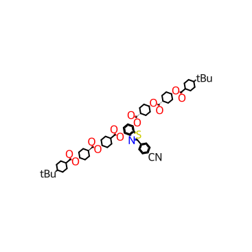 CC(C)(C)C1CCC(C(=O)O[C@H]2CC[C@H](C(=O)OC3CCC(C(=O)Oc4ccc(OC(=O)[C@H]5CC[C@H](OC(=O)[C@H]6CC[C@H](OC(=O)C7CCC(C(C)(C)C)CC7)CC6)CC5)c5sc(-c6ccc(C#N)cc6)nc45)CC3)CC2)CC1